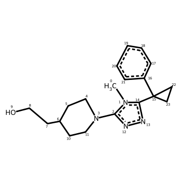 Cn1c(N2CCC(CCO)CC2)nnc1C1(c2ccccc2)CC1